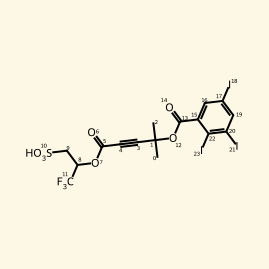 CC(C)(C#CC(=O)OC(CS(=O)(=O)O)C(F)(F)F)OC(=O)c1cc(I)cc(I)c1I